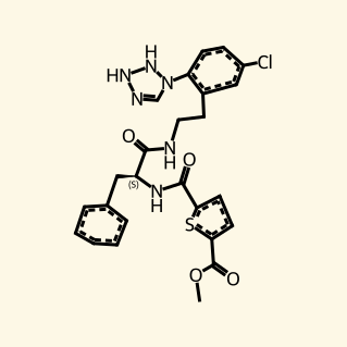 COC(=O)c1ccc(C(=O)N[C@@H](Cc2ccccc2)C(=O)NCCc2cc(Cl)ccc2N2C=NNN2)s1